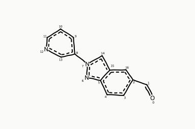 O=[C]c1ccc2nn(-c3cccnc3)cc2c1